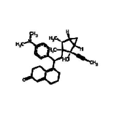 CC#C[C@]1(O)[C@H]2C[C@H]2[C@@H](C)[C@]1(C)C[C@@H](C1=C2CCC(=O)C=C2CCC1)c1ccc(N(C)C)cc1